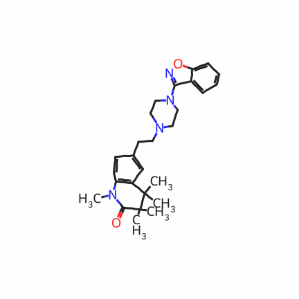 CN1C(=O)C(C)(C)C(C)(C)c2cc(CCN3CCN(c4noc5ccccc45)CC3)ccc21